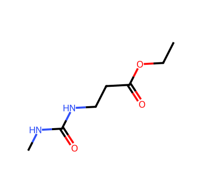 CCOC(=O)CCNC(=O)NC